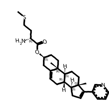 CSCC[C@@H](N)C(=O)O[C@H]1CC[C@@]2(C)C(=CC[C@@H]3[C@@H]2CC[C@]2(C)C(c4cccnc4)=CC[C@@H]32)C1